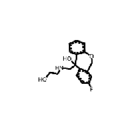 OCCNCC1(O)c2ccc(F)cc2COc2ccccc21